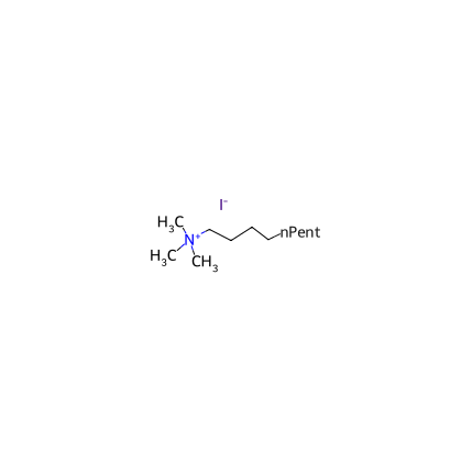 CCCCCCCCC[N+](C)(C)C.[I-]